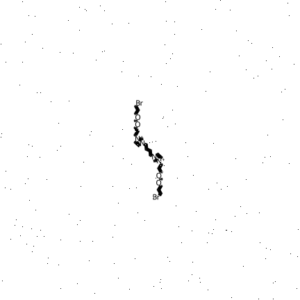 BrCCCOCOCCC[n+]1ccn(CCCCn2cc[n+](CCCOCOCCCBr)c2)c1